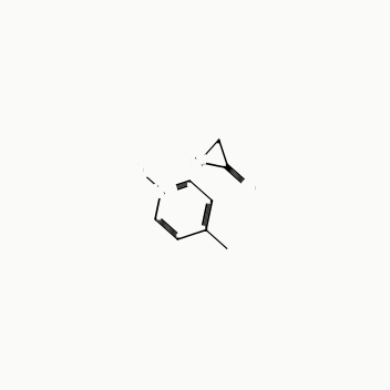 Cc1cc[n+]([O-])cc1.O=C1CN1